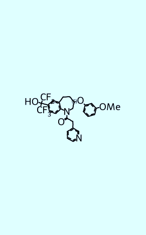 COc1cccc(O[C@H]2CCc3cc(C(O)(C(F)(F)F)C(F)(F)F)ccc3N(C(=O)Cc3cccnc3)C2)c1